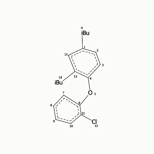 CCC(C)c1ccc(Oc2ccccc2Cl)c(C(C)CC)c1